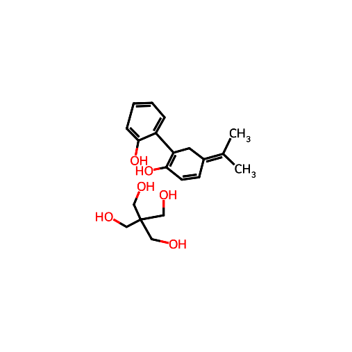 CC(C)=C1C=CC(O)=C(c2ccccc2O)C1.OCC(CO)(CO)CO